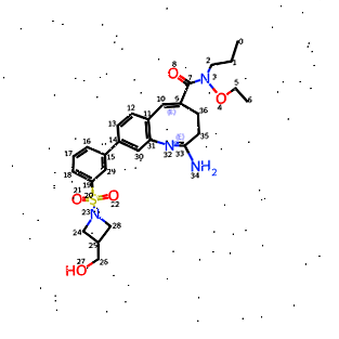 CCCN(OCC)C(=O)/C1=C/c2ccc(-c3cccc(S(=O)(=O)N4CC(CO)C4)c3)cc2/N=C(/N)CC1